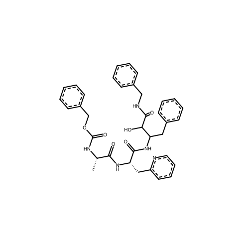 C[C@H](NC(=O)OCc1ccccc1)C(=O)N[C@@H](Cc1ccccn1)C(=O)NC(Cc1ccccc1)C(O)C(=O)NCc1ccccc1